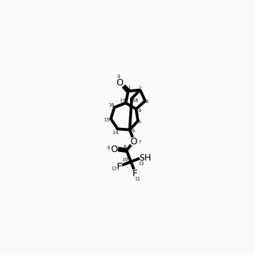 O=C1C2CC3CC(OC(=O)C(F)(F)S)(CCCC13)C2